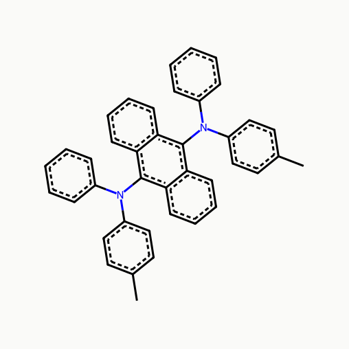 Cc1ccc(N(c2ccccc2)c2c3ccccc3c(N(c3ccccc3)c3ccc(C)cc3)c3ccccc23)cc1